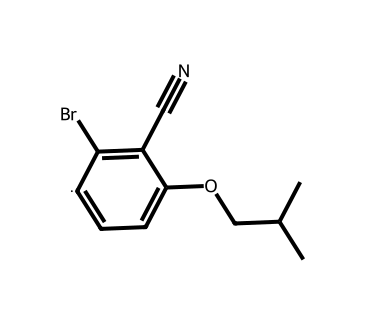 CC(C)COc1cc[c]c(Br)c1C#N